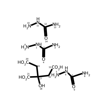 NNC(N)=O.NNC(N)=O.NNC(N)=O.O=C(O)CC(O)(CC(=O)O)C(=O)O